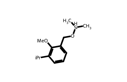 COc1c(CO[SiH](C)C)cccc1C(C)C